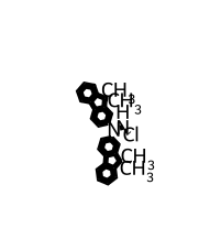 CC1(C)c2ccccc2-c2ccc(N(NCl)c3ccc4c(c3)C(C)(C)c3ccccc3-4)cc21